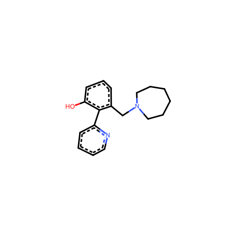 Oc1cccc(CN2CCCCCC2)c1-c1ccccn1